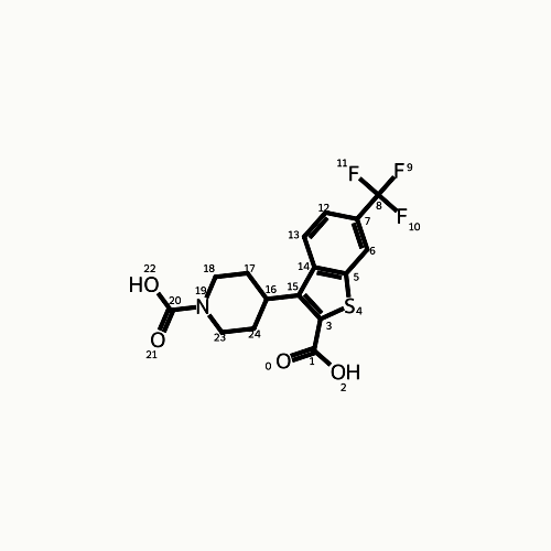 O=C(O)c1sc2cc(C(F)(F)F)ccc2c1C1CCN(C(=O)O)CC1